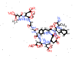 CNC(CC(=O)O)C(=O)NC(CC(=O)O)C(=O)NCC(=O)NCC(=O)NCC(=O)NC(CC(=O)O)C(=O)NC(CC(=O)O)C(=O)NC(CC(=O)O)C(=O)NC(Cc1ccccc1)C(=O)NC(Cc1ccccc1)C(=O)NC(C)C(N)=O